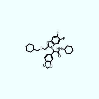 O=C(NC1CCCCC1)C(c1ccc2c(c1)OCO2)n1c(COCC2CCCCC2)nc2cc(F)c(F)cc21